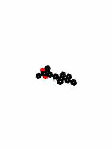 c1ccc(-c2ccc(-c3c4ccccc4c(-c4ccc(-c5ccc6c(c5)-c5ccccc5C65c6ccccc6N(c6ccccc6)c6ccccc65)cn4)c4ccccc34)c3ccccc23)cc1